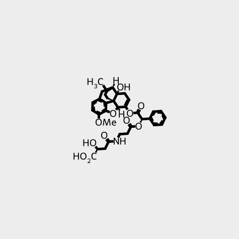 COc1ccc2c3c1O[C@H]1C(OC(=O)[C@H](OC(=O)CCNC(=O)C[C@H](O)C(=O)O)c4ccccc4)=CC[C@@]4(O)[C@@H](C2)C(C)CC[C@]314